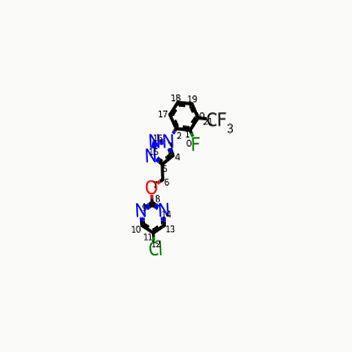 Fc1c(-n2cc(COc3ncc(Cl)cn3)nn2)cccc1C(F)(F)F